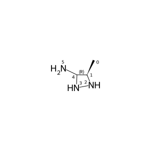 C[C@H]1NNC1N